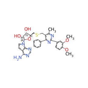 COc1ccc(-c2nc(C)c(CSC[C@H]3O[C@@H](n4ccc5c(N)ncnc54)[C@H](O)[C@@H]3O)c(-c3ccccc3)n2)cc1OC